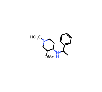 CO[C@H]1CN(C(=O)O)CC[C@H]1NC(C)c1ccccc1